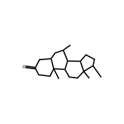 CC1CC2CC(=O)CCC2(C)C2CCC3(C)C(C)CCC3C12